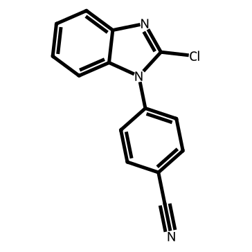 N#Cc1ccc(-n2c(Cl)nc3ccccc32)cc1